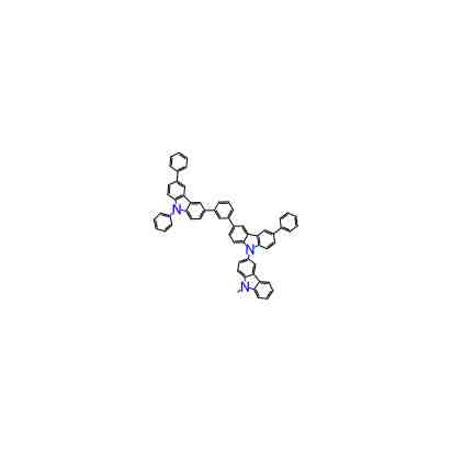 Cn1c2ccccc2c2cc(-n3c4ccc(-c5ccccc5)cc4c4cc(-c5cccc(-c6ccc7c(c6)c6cc(-c8ccccc8)ccc6n7-c6ccccc6)c5)ccc43)ccc21